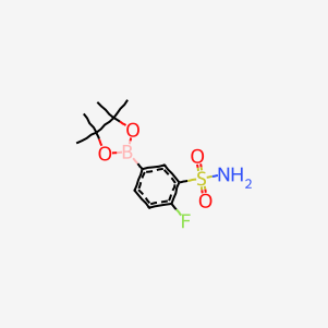 CC1(C)OB(c2ccc(F)c(S(N)(=O)=O)c2)OC1(C)C